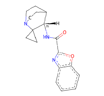 O=C(N[C@H]1C2CCN(CC2)C12CC2)c1nc2ccccc2o1